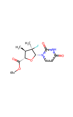 C[C@@H]1[C@@H](C(=O)OC(C)(C)C)O[C@@H](n2ccc(=O)[nH]c2=O)[C@]1(C)F